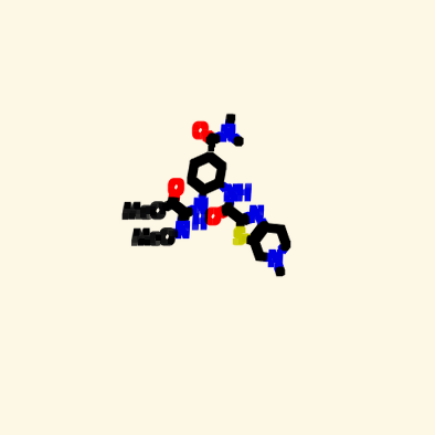 CO/N=C(/N[C@H]1CC[C@H](C(=O)N(C)C)C[C@H]1NC(=O)c1nc2c(s1)CN(C)CC2)C(=O)OC